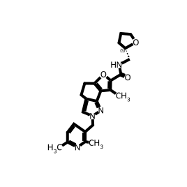 Cc1ccc(Cn2cc3c(n2)-c2c(oc(C(=O)NC[C@@H]4CCCO4)c2C)CC3)c(C)n1